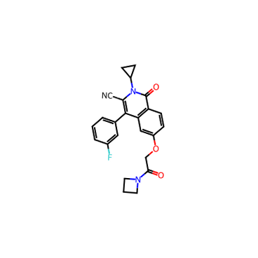 N#Cc1c(-c2cccc(F)c2)c2cc(OCC(=O)N3CCC3)ccc2c(=O)n1C1CC1